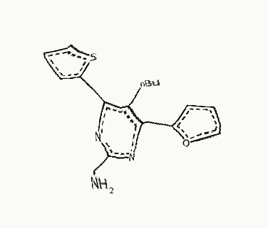 CCCCc1c(-c2ccco2)nc(N)nc1-c1cccs1